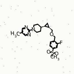 Cc1cnc(N2CCC([C@H]3C[C@H]3COCc3ccc(S(C)(=O)=O)cc3F)CC2)nc1